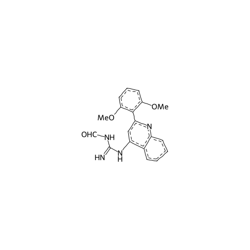 COc1cccc(OC)c1-c1cc(NC(=N)NC=O)c2ccccc2n1